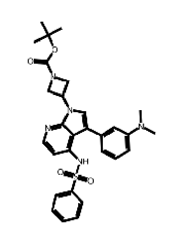 CN(C)c1cccc(-c2cn(C3CN(C(=O)OC(C)(C)C)C3)c3nccc(NS(=O)(=O)c4ccccc4)c23)c1